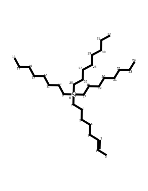 CC=CCCCCC[Si](CCCCCCCC)(CCCCCCCC)CCCCCCCC